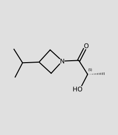 CC(C)C1CN(C(=O)[C@H](C)O)C1